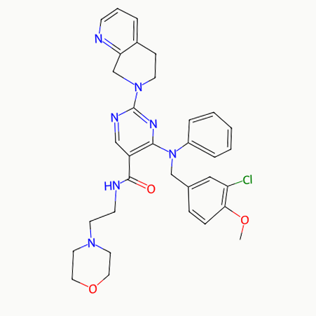 COc1ccc(CN(c2ccccc2)c2nc(N3CCc4cccnc4C3)ncc2C(=O)NCCN2CCOCC2)cc1Cl